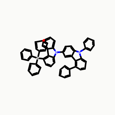 c1ccc(-c2cccc3c2c2cc(-n4c5ccccc5c5c([Si](c6ccccc6)(c6ccccc6)c6ccccc6)cccc54)ccc2n3-c2ccccc2)cc1